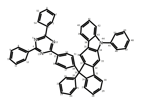 c1ccc(-c2nc(-c3ccccc3)nc(-c3ccc(C4(c5ccccc5)c5ccccc5-c5cc6c(cc54)c4ccccc4n6-c4ccccc4)cc3)n2)cc1